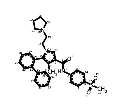 Cc1c(C(=O)Nc2ccc(S(C)(=O)=O)cc2)cn(CCN2CCCC2)c1-c1ccccc1-c1ccccc1